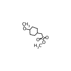 COC1CCC(CS(=O)(=O)OC)CC1